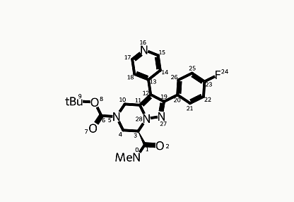 CNC(=O)[C@H]1CN(C(=O)OC(C)(C)C)Cc2c(-c3ccncc3)c(-c3ccc(F)cc3)nn21